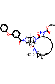 CC(C)(C)OC(=O)N[C@@H]1CCCCC/C=C\[C@H]2C[C@@]2(C(=O)O)NC(=O)[C@@H]2[C@H]3CN(C(=O)c4cccc(Oc5ccccc5)c4)C[C@H]3CN2C1=O